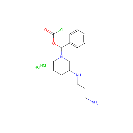 Cl.Cl.NCCCNC1CCCN(C(OC(=O)Cl)c2ccccc2)C1